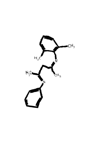 CC(CC(C)=Nc1c(C)cccc1C)=Nc1ccccc1